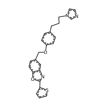 c1csc(-c2nc3cc(COc4ccc(CCCn5ccnc5)cc4)ccc3o2)c1